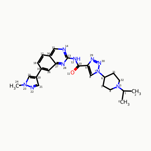 CC(C)N1CCC(n2cc(C(=O)Nc3ncc4ccc(-c5cnn(C)c5)cc4n3)nn2)CC1